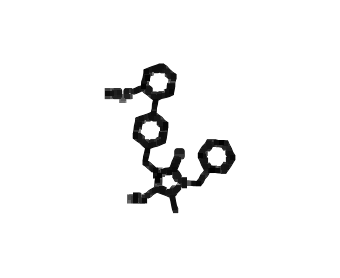 CCCCc1c(C)n(Cc2ccccc2)c(=O)n1Cc1ccc(-c2ccccc2C(=O)O)cc1